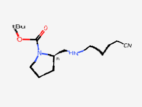 CC(C)(C)OC(=O)N1CCC[C@@H]1CNCCCC#N